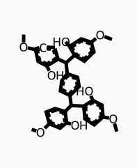 COc1ccc(C(c2ccc(C(c3ccc(OC)cc3O)c3ccc(OC)cc3O)cc2)c2ccc(OC)cc2O)c(O)c1